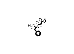 COC(=O)CC(=O)NC(N)Cc1ccccc1